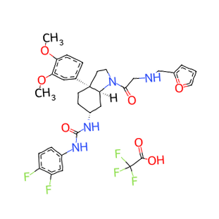 COc1ccc([C@@]23CC[C@@H](NC(=O)Nc4ccc(F)c(F)c4)C[C@@H]2N(C(=O)CNCc2ccco2)CC3)cc1OC.O=C(O)C(F)(F)F